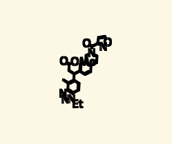 CCn1nnc2c(C)c(C(CC(=O)OC)c3ccc4c(c3)CN(C(=O)c3ccon3)CC4)ccc21